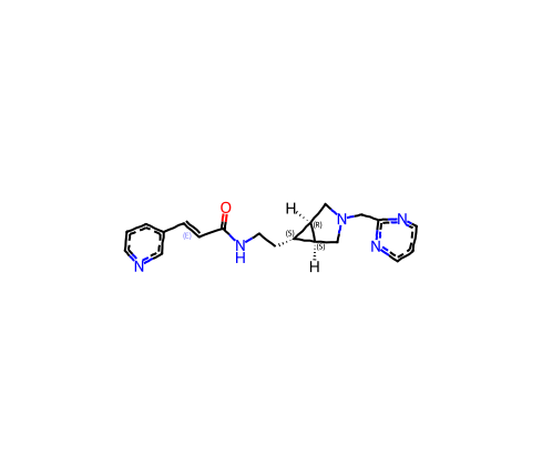 O=C(/C=C/c1cccnc1)NCC[C@@H]1[C@H]2CN(Cc3ncccn3)C[C@@H]12